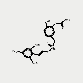 COC(=O)Oc1cc(CS(=O)(=O)N/C=C/c2c(OC)cc(OC)cc2OC)ccc1OC